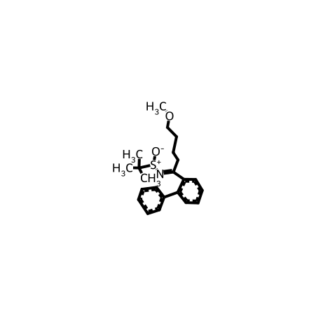 COCCCCC(=N[S+]([O-])C(C)(C)C)c1ccccc1-c1ccccc1